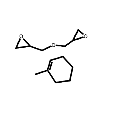 C(OCC1CO1)C1CO1.CC1=CCCCC1